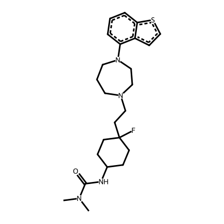 CN(C)C(=O)NC1CCC(F)(CCN2CCCN(c3cccc4sccc34)CC2)CC1